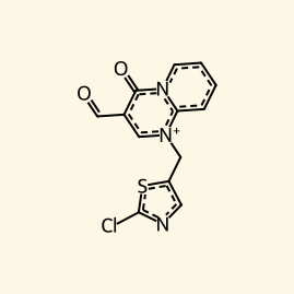 O=Cc1c[n+](Cc2cnc(Cl)s2)c2ccccn2c1=O